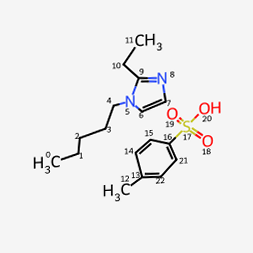 CCCCCn1ccnc1CC.Cc1ccc(S(=O)(=O)O)cc1